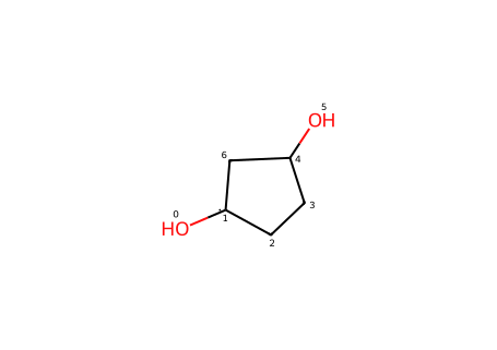 O[C]1CCC(O)C1